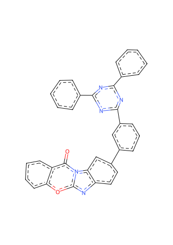 O=c1c2ccccc2oc2nc3ccc(-c4cccc(-c5nc(-c6ccccc6)nc(-c6ccccc6)n5)c4)cc3n12